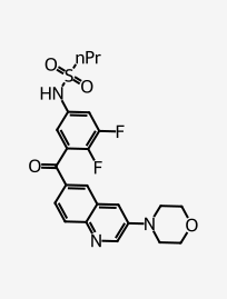 CCCS(=O)(=O)Nc1cc(F)c(F)c(C(=O)c2ccc3ncc(N4CCOCC4)cc3c2)c1